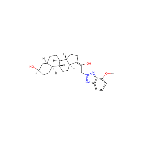 COc1cccc2nn(C/C(O)=C3/CC[C@H]4[C@@H]5CC[C@@H]6C[C@](C)(O)CC[C@@H]6[C@H]5CC[C@]34C)nc12